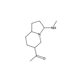 CNC1CCC2CCC(C(C)=O)CN21